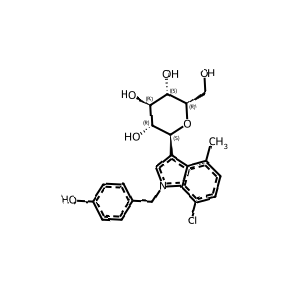 Cc1ccc(Cl)c2c1c([C@@H]1O[C@H](CO)[C@@H](O)[C@H](O)[C@H]1O)cn2Cc1ccc(O)cc1